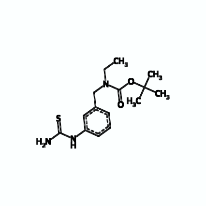 CCN(Cc1cccc(NC(N)=S)c1)C(=O)OC(C)(C)C